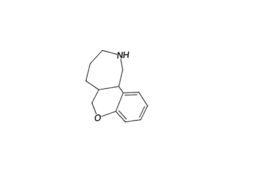 c1ccc2c(c1)OCC1CCCNCC21